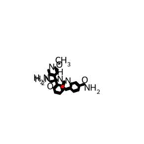 COc1cc(C(Nc2ccc3ccc(C(N)=O)cc3n2)(C(N)=O)c2ccccc2)c(N)cn1